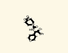 CC(C)C(=O)[C@@H](NC(=O)N1CCS(=O)(=O)CC1)C1CCOCC1